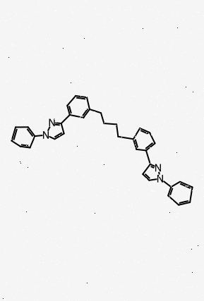 c1ccc(-n2ccc(-c3cccc(CCCCc4cccc(-c5ccn(-c6ccccc6)n5)c4)c3)n2)cc1